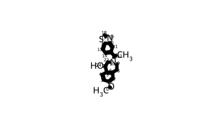 COc1ccc2c(c1)CCN(C(C)c1ccc3scnc3c1)CC2O